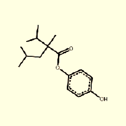 CC(C)CC(C)(C(=O)Oc1ccc(O)cc1)C(C)C